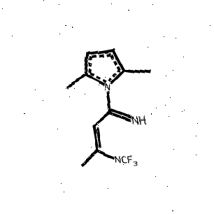 C/C(=C/C(=N)n1c(C)ccc1C)NC(F)(F)F